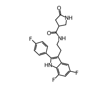 O=C1CC(C(=O)NCCc2c(-c3ccc(F)cc3)[nH]c3c(F)cc(F)cc23)CN1